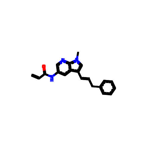 C=CC(=O)Nc1cnc2c(c1)c(/C=C/Cc1ccccc1)cn2C